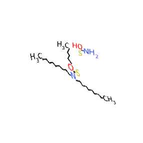 CCCCCCCCCCN(CCCCCCCCCC)C(=S)OCCCCCC.NC(O)=S